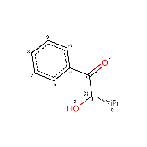 CC(C)[C@H](O)C(=O)c1ccccc1